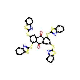 O=C1c2cc(Sc3nc4ccccc4s3)cc(Sc3nc4ccccc4s3)c2C(=O)c2cc(Sc3nc4ccccc4s3)cc(Sc3nc4ccccc4s3)c21